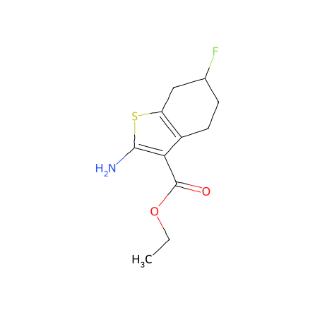 CCOC(=O)c1c(N)sc2c1CCC(F)C2